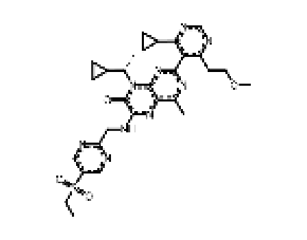 CCS(=O)(=O)c1cnc(CNc2nc3c(C)nc(-c4c(CCOC)ncnc4C4CC4)nc3n([C@@H](C)C3CC3)c2=O)nc1